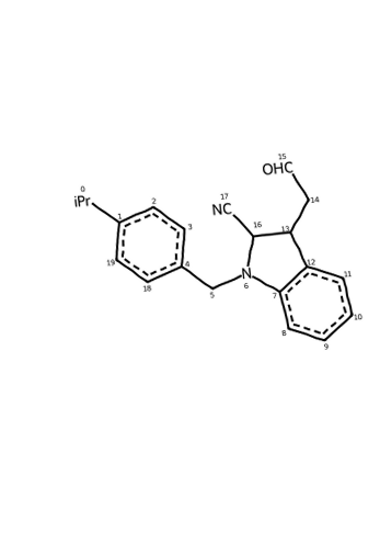 CC(C)c1ccc(CN2c3ccccc3C(CC=O)C2C#N)cc1